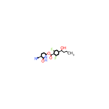 CCCC(O)c1cc(F)c(C(=O)Oc2ccc(C#N)c(=O)[nH]2)c(F)c1